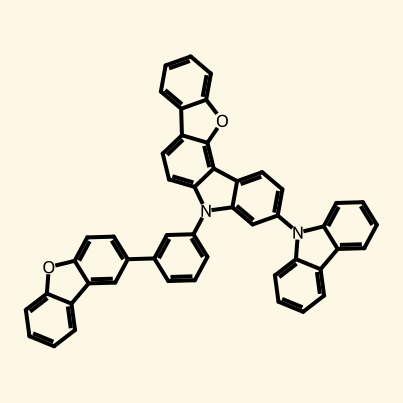 c1cc(-c2ccc3oc4ccccc4c3c2)cc(-n2c3cc(-n4c5ccccc5c5ccccc54)ccc3c3c4oc5ccccc5c4ccc32)c1